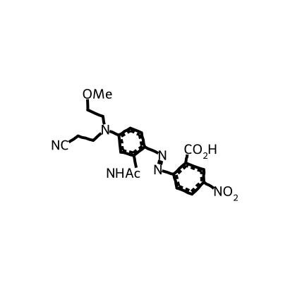 COCCN(CCC#N)c1ccc(N=Nc2ccc([N+](=O)[O-])cc2C(=O)O)c(NC(C)=O)c1